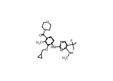 CNc1nc(Nc2ccc(C(=O)N3CCOCC3)c(C)c2OCC2CC2)ncc1C(F)(F)F